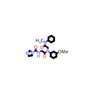 COc1cccc(N(CC(=O)N(C)c2ccccc2)C(=O)CNC(=O)n2ccnc2)c1